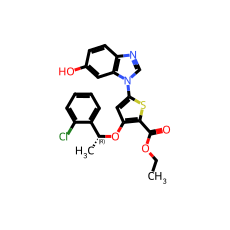 CCOC(=O)c1sc(-n2cnc3ccc(O)cc32)cc1O[C@H](C)c1ccccc1Cl